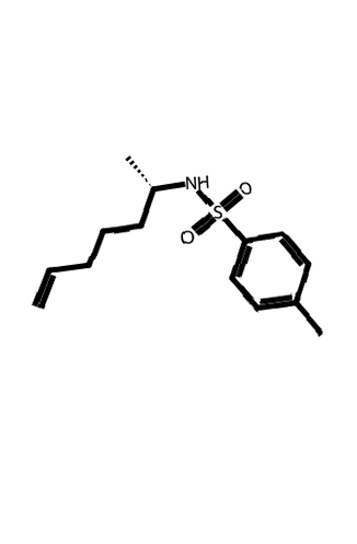 C=CCCC[C@H](C)NS(=O)(=O)c1ccc(C)cc1